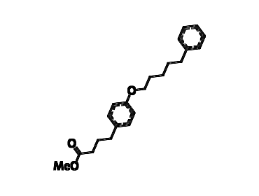 COC(=O)CCCc1ccc(OCCCCCc2ccccc2)cc1